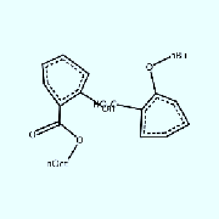 CCCCCCCCOC(=O)c1ccccc1O.CCCCOc1ccccc1C(=O)O